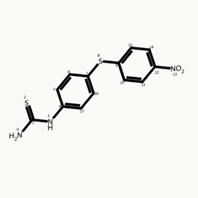 NC(=S)Nc1ccc(Sc2ccc([N+](=O)[O-])cc2)cc1